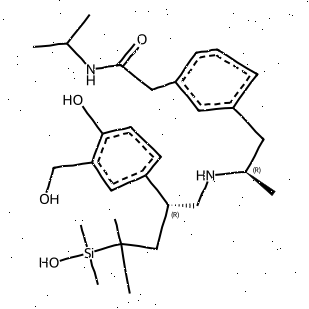 CC(C)NC(=O)Cc1cccc(C[C@@H](C)NC[C@H](CC(C)(C)[Si](C)(C)O)c2ccc(O)c(CO)c2)c1